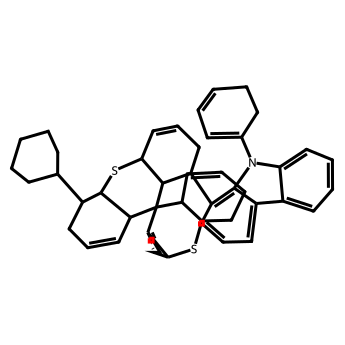 C1=CCCC(n2c3ccccc3c3cccc(C4CC=CC5SC6C(C7CCCCC7)CC=CC6C6(C7=CC=CCC7SC7CCC=CC76)C54)c32)=C1